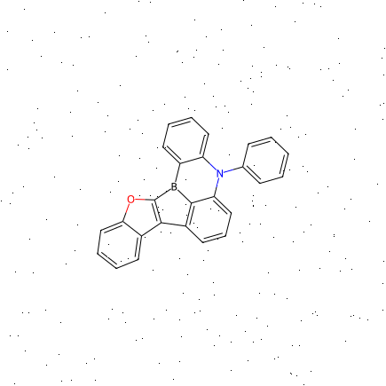 c1ccc(N2c3ccccc3B3c4oc5ccccc5c4-c4cccc2c43)cc1